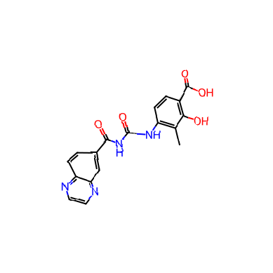 Cc1c(NC(=O)NC(=O)c2ccc3nccnc3c2)ccc(C(=O)O)c1O